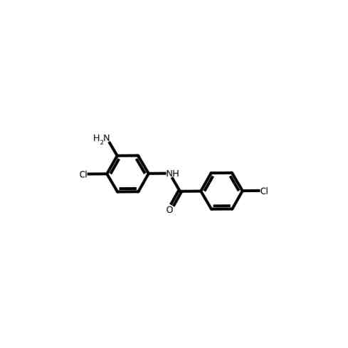 Nc1cc(NC(=O)c2ccc(Cl)cc2)ccc1Cl